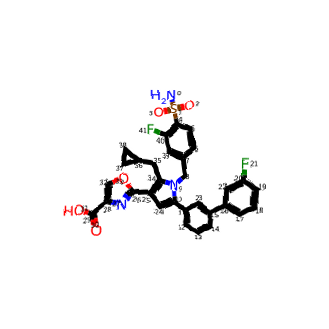 NS(=O)(=O)c1ccc(Cn2c(-c3cccc(-c4cccc(F)c4)c3)cc(-c3nc(C(=O)O)co3)c2CC2CC2)cc1F